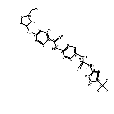 CCN1CCC(Oc2ccc(C(=O)Nc3ccc(NC(=O)Nc4cc(C(C)(C)C)on4)cc3)nc2)C1